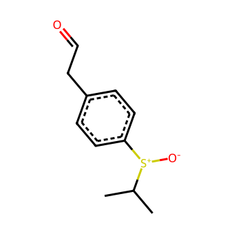 CC(C)[S+]([O-])c1ccc(CC=O)cc1